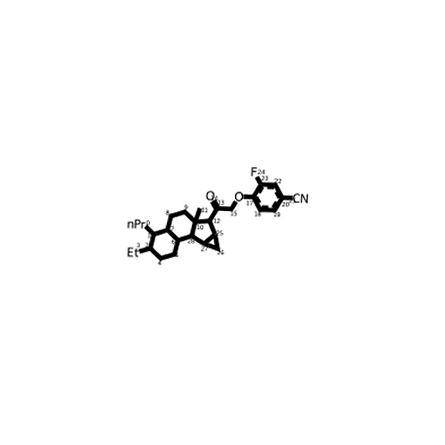 CCCC1C(CC)CCC2C1CCC1(C)C(C(=O)COc3ccc(C#N)cc3F)C3CC3C21